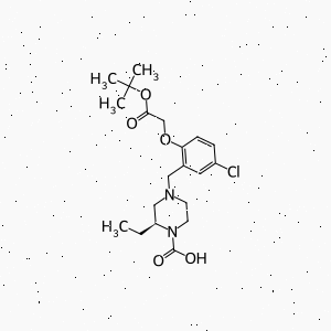 CC[C@H]1CN(Cc2cc(Cl)ccc2OCC(=O)OC(C)(C)C)CCN1C(=O)O